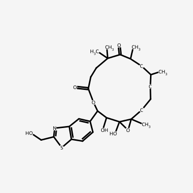 CC1CCCC2(C)OC2(O)C(O)C(c2ccc3sc(CO)nc3c2)OC(=O)CCC(C)(C)C(=O)C(C)C1